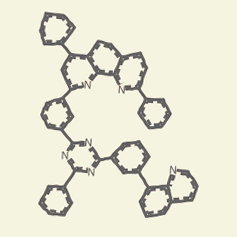 c1ccc(-c2ccc3ccc4c(-c5ccccc5)cc(-c5cccc(-c6nc(-c7ccccc7)nc(-c7cccc(-c8cccc9cccnc89)c7)n6)c5)nc4c3n2)cc1